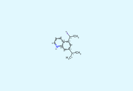 CC(C)c1cc(C(C)I)c2cccnc2c1